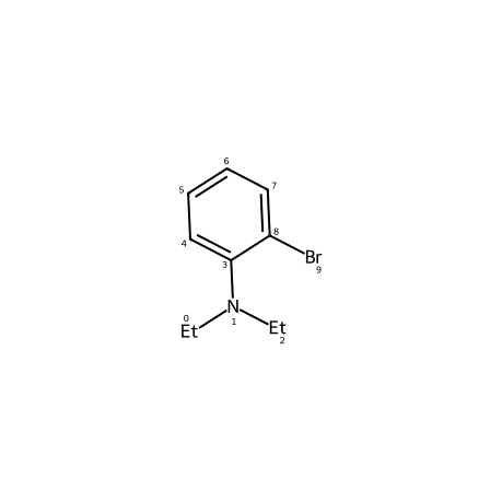 CCN(CC)c1ccccc1Br